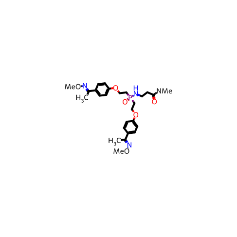 CNC(=O)CCNP(=O)(CCOc1ccc(/C(C)=N/OC)cc1)CCOc1ccc(/C(C)=N/OC)cc1